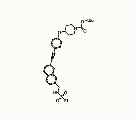 CCS(=O)(=O)NCc1ccc2ccc(C#[N+]c3ccc(OC4CCN(C(=O)OC(C)(C)C)CC4)cc3)cc2c1